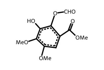 COC(=O)c1cc(OC)c(OC)c(O)c1OC=O